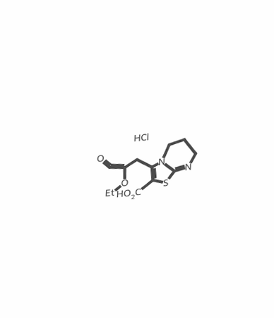 CCOC(=C=O)CC1=C(C(=O)O)SC2=NCCCN21.Cl